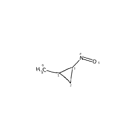 CC1CC1N=O